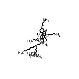 CCCCCCCCN(CCC[C@@H](C)[C@H]1CC[C@H]2[C@@H]3[C@H](OCCCN)C[C@@H]4C[C@H](OCCCN)CC[C@]4(C)[C@H]3C[C@H](OCCCN)[C@]12C)CCC[Si](OC)(OC)OC